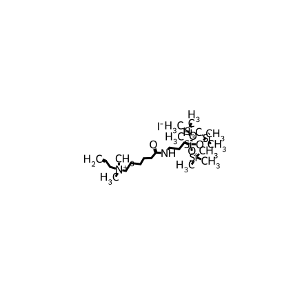 C=CC[N+](C)(C)CCCCCC(=O)NCCC[Si](O[Si](C)(C)C)(O[Si](C)(C)C)O[Si](C)(C)C.[I-]